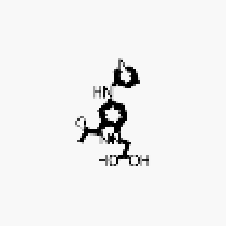 CC(=O)c1nn(CC(O)O)c2ccc(Nc3cccnc3)cc12